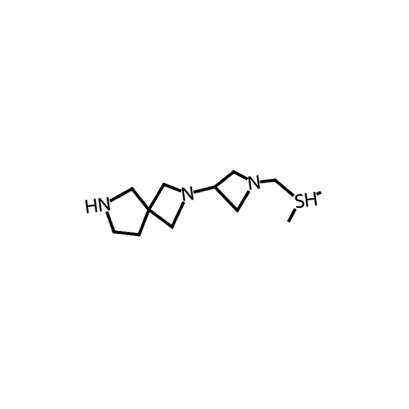 C[SH](C)CN1CC(N2CC3(CCNC3)C2)C1